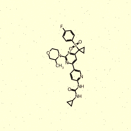 CC1COCCN1c1nc(-c2ccc(NC(=O)NC3CC3)nc2)cc(C2(S(=O)(=O)c3ccc(F)cc3)CC2)n1